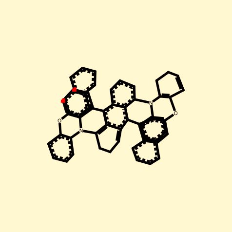 C1=CC2=C(CC1)N(c1cccc3c(-c4cccc5ccccc45)c4c(c(-c5cccc6ccccc56)c13)=CCCC=4N1c3ccccc3Oc3ccccc31)c1ccccc1O2